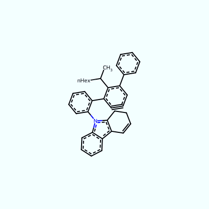 CCCCCCC(C)c1c(-c2ccccc2-n2c3c(c4ccccc42)C=CCC3)c#ccc1-c1ccccc1